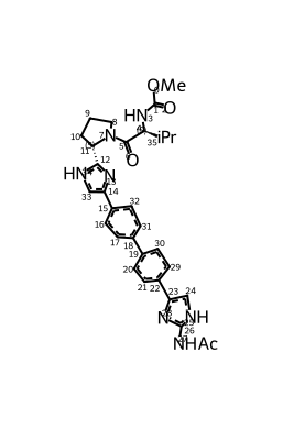 COC(=O)N[C@H](C(=O)N1CCC[C@H]1c1nc(-c2ccc(-c3ccc(-c4c[nH]c(NC(C)=O)n4)cc3)cc2)c[nH]1)C(C)C